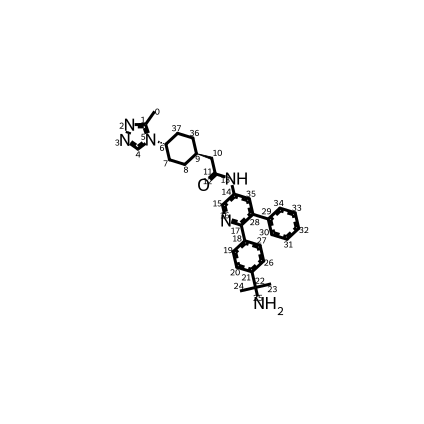 Cc1nncn1[C@H]1CC[C@H](CC(=O)Nc2cnc(-c3ccc(C(C)(C)N)cc3)c(-c3ccccc3)c2)CC1